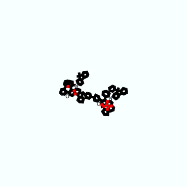 CC1(C)c2ccccc2-c2ccc(N(c3ccc4c(c3)C(C)(C3=CC=CCC3)c3ccccc3-4)c3ccccc3-c3cc(-c4ccccc4)cc4oc5cc(-c6ccc(C7(C)c8ccccc8-c8ccc(N(c9ccc%10c(c9)C(C)(C)c9ccccc9-%10)c9ccccc9-c9cccc%10oc%11cccc(-c%12ccccc%12)c%11c9%10)cc87)cc6)ccc5c34)cc21